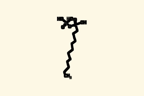 CCCCCCCCCCCP(=O)(O)OP(=O)(O)O